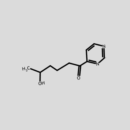 CC(O)CCCC(=O)c1ccn[c]n1